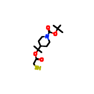 CC(C)(C)OC(=O)N1CCC(C(C)(C)OC(=O)CS)CC1